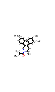 C=C(OC)C(=O)N1Cc2c(c3cc(OC)c(OC)cc3c3cc(OC)ccc23)C[C@H]1CC